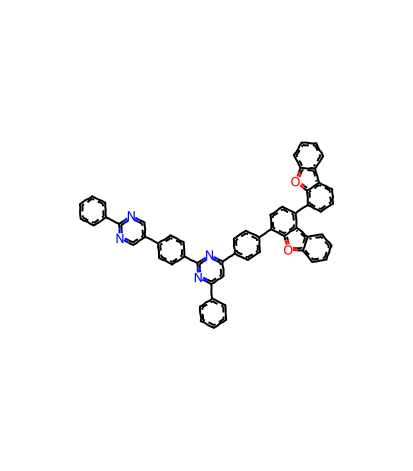 c1ccc(-c2cc(-c3ccc(-c4ccc(-c5cccc6c5oc5ccccc56)c5c4oc4ccccc45)cc3)nc(-c3ccc(-c4cnc(-c5ccccc5)nc4)cc3)n2)cc1